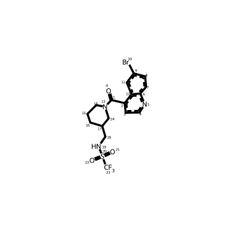 O=C(c1ccnc2ccc(Br)cc12)N1CCCC(CNS(=O)(=O)C(F)(F)F)C1